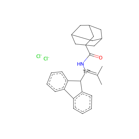 C[C](C)=[Ti+2]([NH]C(=O)C12CC3CC(CC(C3)C1)C2)[CH]1c2ccccc2-c2ccccc21.[Cl-].[Cl-]